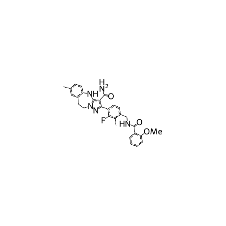 COc1ccccc1C(=O)NCc1ccc(-c2nn3c(c2C(N)=O)Nc2ccc(C)cc2CC3)c(F)c1C